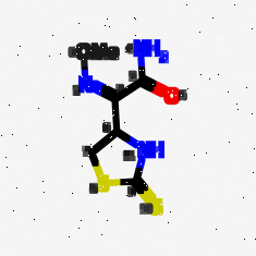 CON=C(C(N)=O)C1CSC(=S)N1